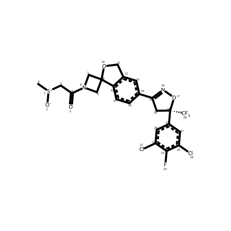 C[S+]([O-])CC(=O)N1CC2(C1)OCc1cc(C3=NO[C@](c4cc(Cl)c(F)c(Cl)c4)(C(F)(F)F)C3)ccc12